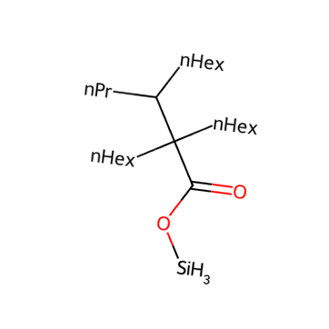 CCCCCCC(CCC)C(CCCCCC)(CCCCCC)C(=O)O[SiH3]